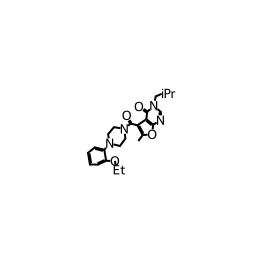 CCOc1ccccc1N1CCN(C(=O)c2c(C)oc3ncn(CC(C)C)c(=O)c23)CC1